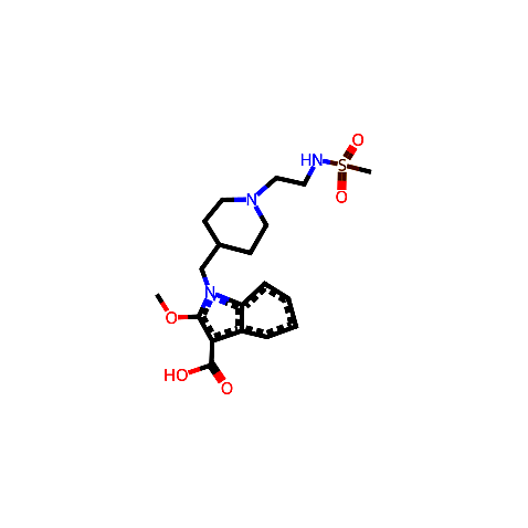 COc1c(C(=O)O)c2ccccc2n1CC1CCN(CCNS(C)(=O)=O)CC1